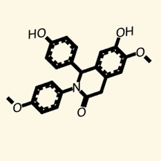 COc1ccc(N2C(=O)Cc3cc(OC)c(O)cc3C2c2ccc(O)cc2)cc1